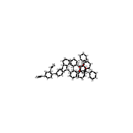 N#Cc1ccc(-c2ccc3c(c2)c2ccccc2n3-c2cccc(-c3nc(-c4ccccc4)cc(-c4ccccc4)n3)c2-c2ccccc2-n2c3ccccc3c3ccccc32)c(C#N)c1